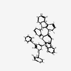 C1=CCC(N2C3=C(C=CCC3C3=Cc4c(n(C5=CC(c6ccccc6)=CC(c6ccccc6)C5)c5ccccc45)CC3)C3C=CC=CC32)C=C1